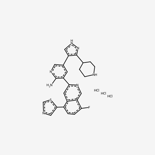 Cl.Cl.Cl.Nc1ncc(-c2c[nH]nc2C2CCNCC2)cc1-c1cc2c(-c3cncs3)ccc(F)c2cn1